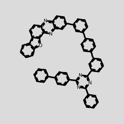 c1ccc(-c2ccc(-c3nc(-c4ccccc4)nc(-c4cccc(-c5ccc(-c6cccc(-c7ccc8nc9ccc%10c%11ccccc%11oc%10c9nc8c7)c6)cc5)c4)n3)cc2)cc1